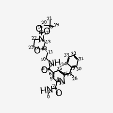 CNC(=O)c1cc(C(=O)NCC[C@H]2CN(C(=O)OC(C)(C)C)CCO2)cc(C(C)c2ccccc2)n1